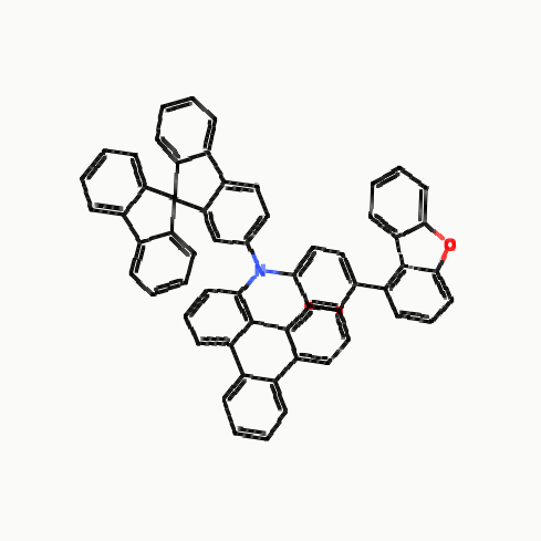 c1ccc2c(c1)-c1ccccc1C21c2ccccc2-c2ccc(N(c3ccc(-c4cccc5oc6ccccc6c45)cc3)c3cccc4c5ccccc5c5ccccc5c34)cc21